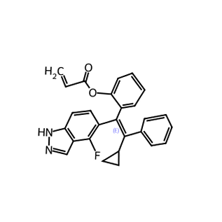 C=CC(=O)Oc1ccccc1/C(=C(\c1ccccc1)C1CC1)c1ccc2[nH]ncc2c1F